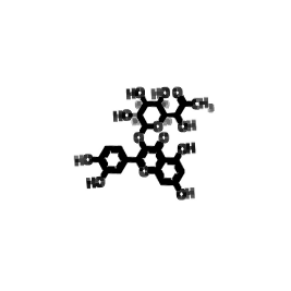 CC(=O)C(O)[C@H]1OC(Oc2c(-c3ccc(O)c(O)c3)oc3cc(O)cc(O)c3c2=O)[C@H](O)[C@@H](O)[C@H]1O